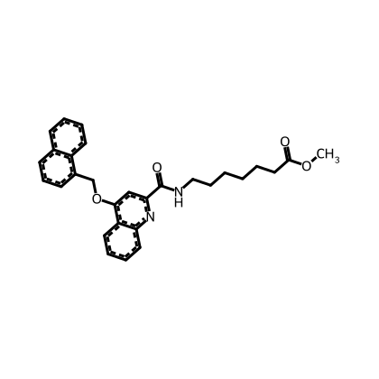 COC(=O)CCCCCCNC(=O)c1cc(OCc2cccc3ccccc23)c2ccccc2n1